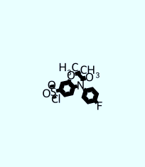 CC1(C)Oc2cc(S(=O)(=O)Cl)ccc2N(c2ccc(F)cc2)C1=O